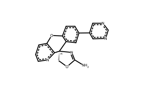 NC1=N[C@]2(CO1)c1cc(-c3cncnc3)ccc1Oc1cccnc12